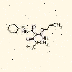 C=CCOC(=N)N(C(=O)NSC1CCCCC1)C(=O)N(C)C